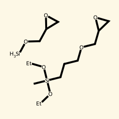 CCO[Si](C)(CCCOCC1CO1)OCC.[SiH3]OCC1CO1